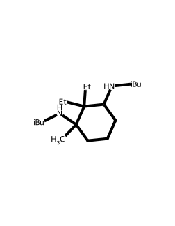 CCC(C)NC1CCCC(C)(NC(C)CC)C1(CC)CC